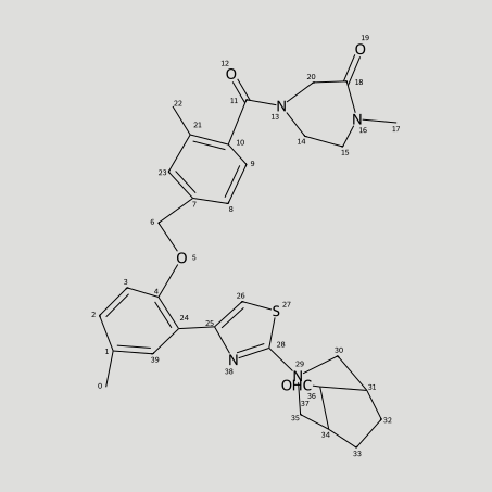 Cc1ccc(OCc2ccc(C(=O)N3CCN(C)C(=O)C3)c(C)c2)c(-c2csc(N3CC4CCC(C3)C4C=O)n2)c1